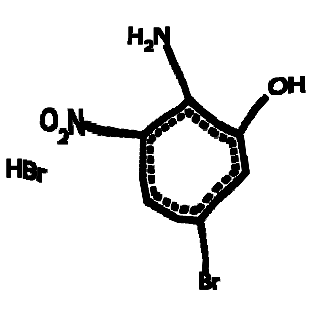 Br.Nc1c(O)cc(Br)cc1[N+](=O)[O-]